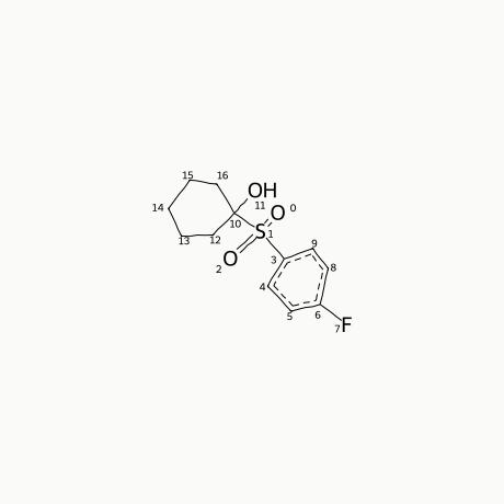 O=S(=O)(c1ccc(F)cc1)C1(O)CCCCC1